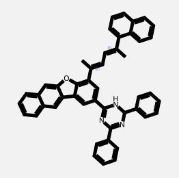 C/C(=C\C=C(/C)c1cc(C2=NC(c3ccccc3)=NC(c3ccccc3)N2)cc2c1oc1cc3ccccc3cc12)c1cccc2ccccc12